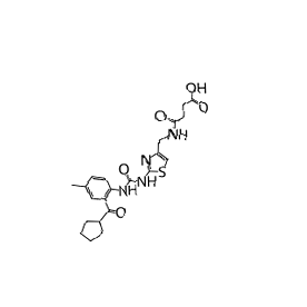 Cc1ccc(NC(=O)Nc2nc(CNC(=O)CCC(=O)O)cs2)c(C(=O)C2CCCC2)c1